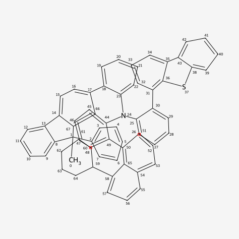 CC1(c2ccccc2)c2ccccc2-c2ccc(-c3ccccc3N(c3ccccc3-c3cccc4c3sc3ccccc34)c3ccccc3-c3cccc4cccc(C5CCCCC5)c34)cc21